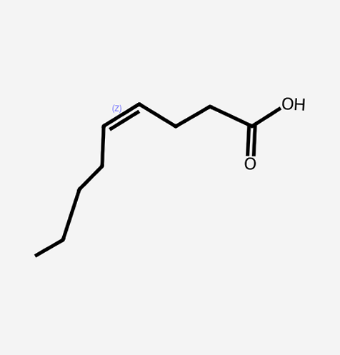 CCCC/C=C\CCC(=O)O